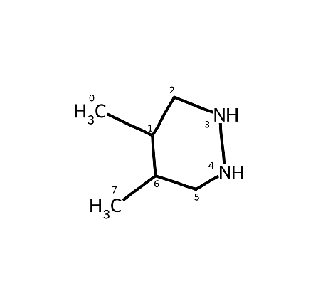 CC1CNNCC1C